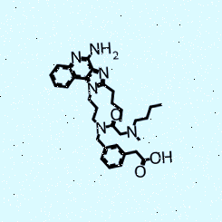 CCCCc1nc2c(N)nc3ccccc3c2n1CCCN(Cc1cccc(CC(=O)O)c1)C(=O)CN(C)CCCC